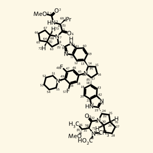 COC(=O)N[C@H](C(=O)N1[C@H](c2nc3cc([C@H]4CC[C@H](c5ccc6[nH]c([C@@H]7C[C@@H]8CCC[C@@H]8N7C(=O)[C@H]([C@@H](C)OC)N(C)C(=O)O)nc6c5)N4c4cc(F)c(N5CCCCC5)c(F)c4)ccc3[nH]2)C[C@@H]2CCC[C@@H]21)C(C)C